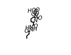 CCCC(=O)NNC(=O)C1CCC2CN1C(=O)N2OS(=O)(=O)O